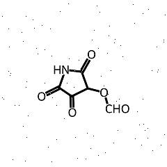 O=COC1C(=O)NC(=O)C1=O